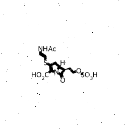 CC(=O)N/C=C/SC1=C(C(=O)O)N2C(=O)[C@H](CCOS(=O)(=O)O)[C@H]2C1